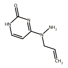 C=CCN(N)c1cc[nH]c(=O)n1